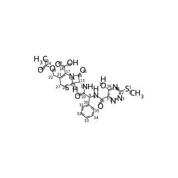 CSc1nnc(C(=O)NC(C(=O)N[C@H]2C(=O)N3C(C(=O)O)=C(COC(C)=O)CS[C@H]23)c2ccccc2)c(O)n1